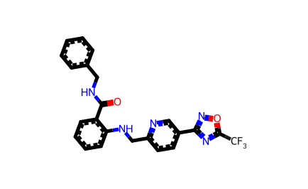 O=C(NCc1ccccc1)c1ccccc1NCc1ccc(-c2noc(C(F)(F)F)n2)cn1